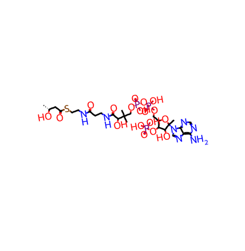 C[C@@H](O)CC(=O)SCCNC(=O)CCNC(=O)C(O)C(C)(C)COP(=O)(O)OP(=O)(O)OCC1OC(C)(n2cnc3c(N)ncnc32)C(O)C1OP(=O)(O)O